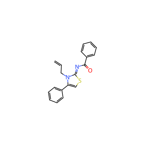 C=CCn1c(-c2ccccc2)cs/c1=N\C(=O)c1ccccc1